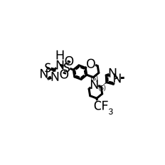 Cn1cc([C@@H]2CC(C(F)(F)F)CCN2[C@H]2CCOc3cc(S(=O)(=O)Nc4ncns4)ccc32)cn1